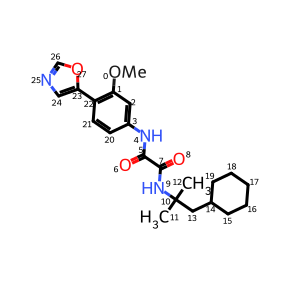 COc1cc(NC(=O)C(=O)NC(C)(C)CC2CCCCC2)ccc1-c1cnco1